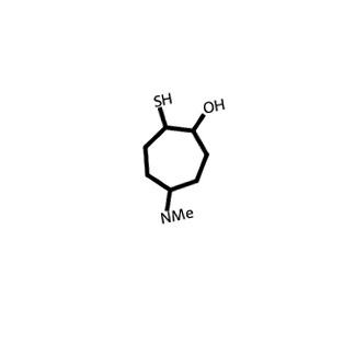 CNC1CCC(O)C(S)CC1